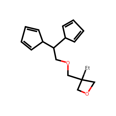 CCC1(COCC(C2C=CC=C2)C2C=CC=C2)COC1